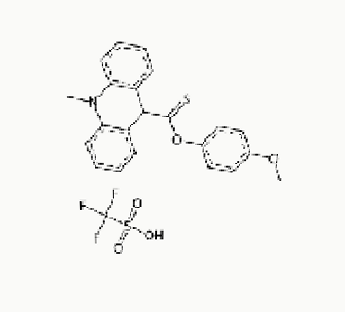 COc1ccc(OC(=S)C2c3ccccc3N(C)c3ccccc32)cc1.O=S(=O)(O)C(F)(F)F